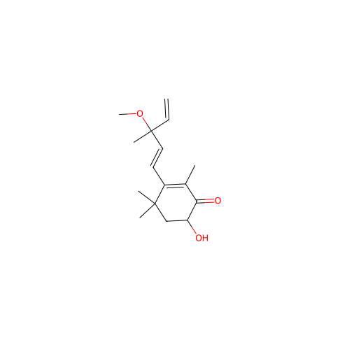 C=CC(C)(C=CC1=C(C)C(=O)C(O)CC1(C)C)OC